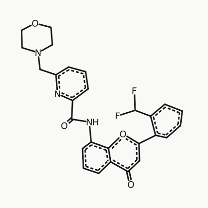 O=C(Nc1cccc2c(=O)cc(-c3ccccc3C(F)F)oc12)c1cccc(CN2CCOCC2)n1